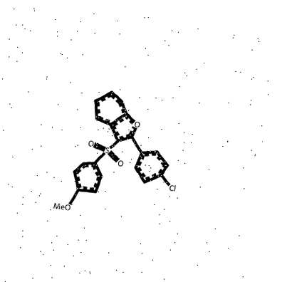 COc1ccc(S(=O)(=O)c2c(-c3ccc(Cl)cc3)oc3ccccc23)cc1